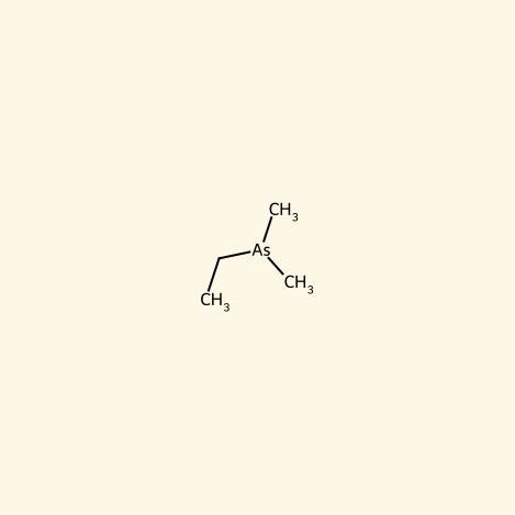 CC[As](C)C